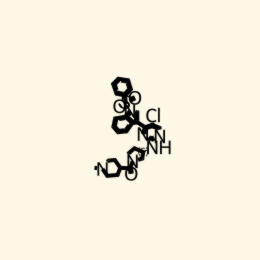 CN1CCC(C(=O)N2CC[C@H](Nc3ncc(Cl)c(-c4cn(S(=O)(=O)c5ccccc5)c5ccccc45)n3)C2)CC1